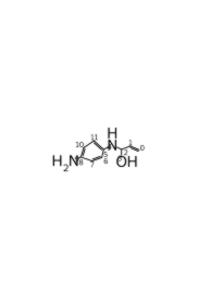 C=CC(O)Nc1ccc(N)cc1